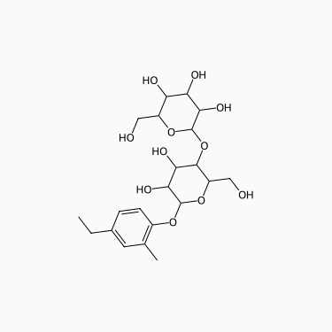 CCc1ccc(OC2OC(CO)C(OC3OC(CO)C(O)C(O)C3O)C(O)C2O)c(C)c1